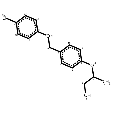 CC(CO)Oc1ccc(COc2ccc(Cl)cc2)cc1